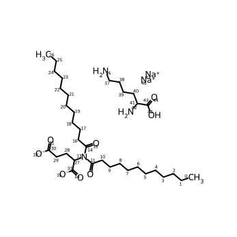 CCCCCCCCCCCC(=O)N(C(=O)CCCCCCCCCCC)C(CCC(=O)[O-])C(=O)[O-].NCCCCC(N)C(=O)O.[Na+].[Na+]